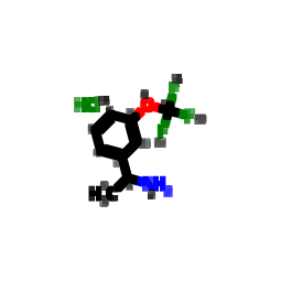 CC(N)c1cccc(OC(F)(F)F)c1.Cl